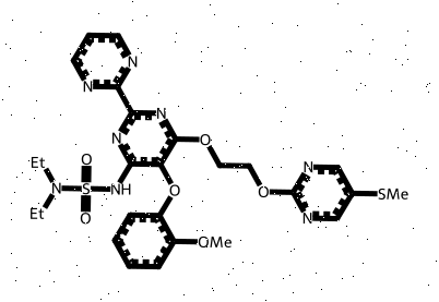 CCN(CC)S(=O)(=O)Nc1nc(-c2ncccn2)nc(OCCOc2ncc(SC)cn2)c1Oc1ccccc1OC